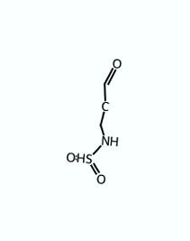 O=CCCN[SH](=O)=O